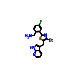 CCc1nc(-c2cc(F)ccc2CN)sc1Cc1c[nH]c2ncccc12